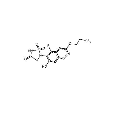 O=C1CN(c2c(O)cc3cnc(OCCC(F)(F)F)nc3c2F)S(=O)(=O)N1